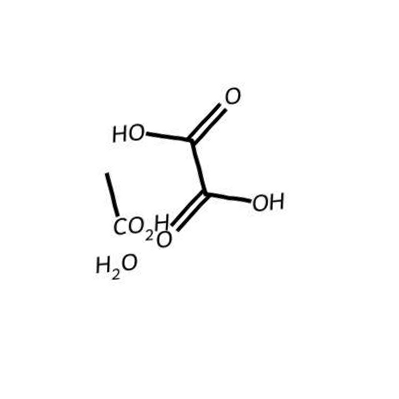 CC(=O)O.O.O=C(O)C(=O)O